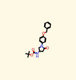 CC(C)(C)OC(=O)N[C@@H]1CC(=O)N(c2ccc(OCc3ccccc3)cc2)C1